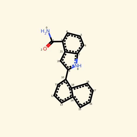 NC(=O)c1cccc2[nH]c(-c3cccc4ccccc34)cc12